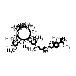 CC[C@H]1OC(=O)[C@H](C)[C@@H](O[C@H]2C[C@@](C)(OC)C[C@H](C)O2)[C@H](C)[C@@H](O[C@H]2C[C@@H](N(C)CCc3cn([C@H](CO)Cc4ccc(-c5c(C)noc5C)cc4)nn3)C[C@@H](C)O2)[C@](C)(O)C[C@@H](C)CN(C)[C@H](C)[C@@H](O)[C@]1(C)O